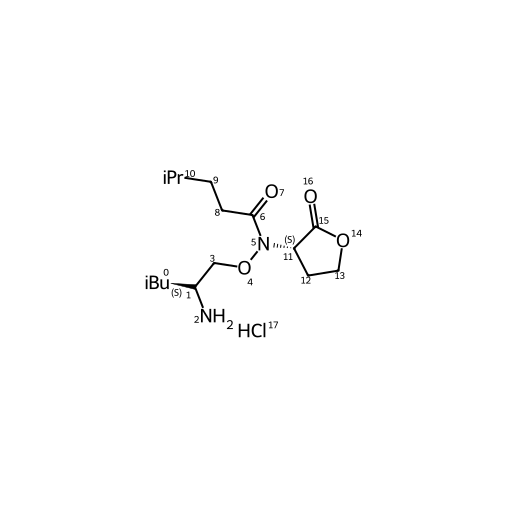 CC[C@H](C)C(N)CON(C(=O)CCC(C)C)[C@H]1CCOC1=O.Cl